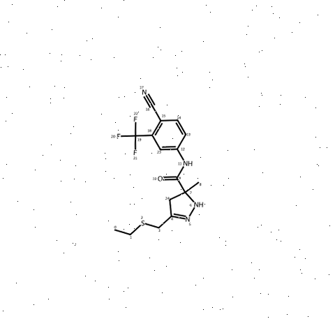 CCSCC1=NNC(C)(C(=O)Nc2ccc(C#N)c(C(F)(F)F)c2)C1